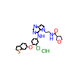 Cl.O=C(NCCn1ccc2ncnc(Nc3ccc(Oc4ccc5ccsc5c4)c(Cl)c3)c21)C1CCOC1